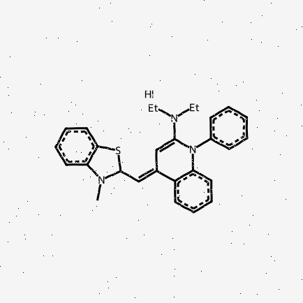 CCN(CC)C1=CC(=CC2Sc3ccccc3N2C)c2ccccc2N1c1ccccc1.I